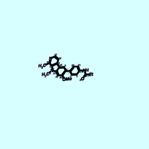 CCC(=O)Nc1ccc(-c2cc3c4ccnc(C)c4n(C)c3cc2OC)cc1